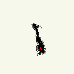 CC(NC(=O)COCCOCCOc1ccc(N(C(=S)N(C)c2ccc(C#N)c(C(F)(F)F)c2F)C(C)(C)C=O)cn1)C(C)(C)C